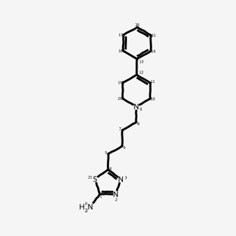 Nc1nnc(CCCCN2CC=C(c3ccccc3)CC2)s1